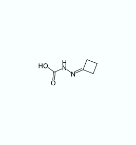 O=C(O)NN=C1CCC1